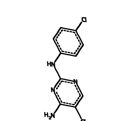 Nc1nc(Nc2ccc(Cl)cc2)ncc1Cl